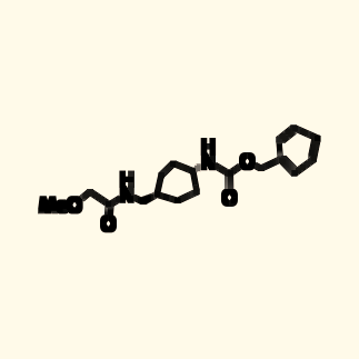 COCC(=O)NC[C@H]1CC[C@H](NC(=O)OCc2ccccc2)CC1